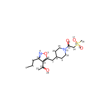 CCCc1noc(CC2CCN(C(=O)CS(C)(=O)=O)CC2)c1C(C)=O